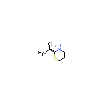 CC(C)=C1NCCCS1